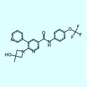 CC1(O)CN(c2ncc(C(=O)Nc3ccc(OC(F)(F)F)cc3)cc2-c2cccnc2)C1